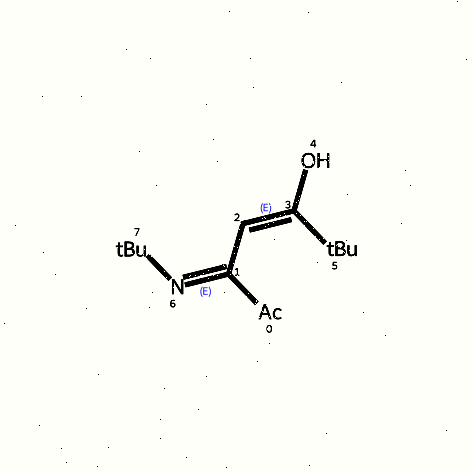 CC(=O)C(/C=C(/O)C(C)(C)C)=N/C(C)(C)C